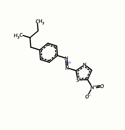 CCC(C)Cc1ccc(/N=N/c2ncc([N+](=O)[O-])s2)cc1